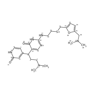 CN(C)CCC(c1cc[nH]c(=O)c1)c1cnc(NCCSCc2ccc(CN(C)C)o2)[nH]c1=O